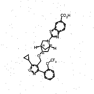 O=C(O)c1ccc2nc(N3C[C@@H]4C[C@H]3C[C@H]4OCc3c(-c4ccccc4OC(F)(F)F)noc3C3CC3)sc2c1